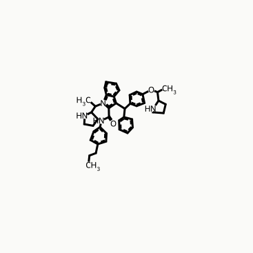 CCCc1ccc(NC(=O)c2c(C(c3ccccc3)c3ccc(OC(C)C4CCCN4)cc3)c3ccccc3n2C(C)C2CCCN2)cc1